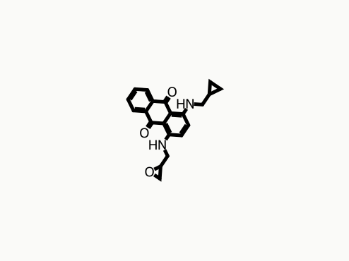 O=C1c2ccccc2C(=O)c2c(NCC3CO3)ccc(NCC3CC3)c21